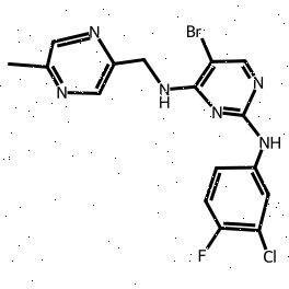 Cc1cnc(CNc2nc(Nc3ccc(F)c(Cl)c3)ncc2Br)cn1